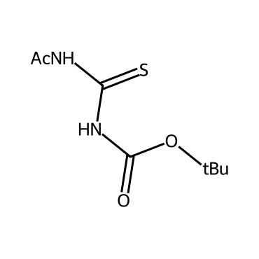 CC(=O)NC(=S)NC(=O)OC(C)(C)C